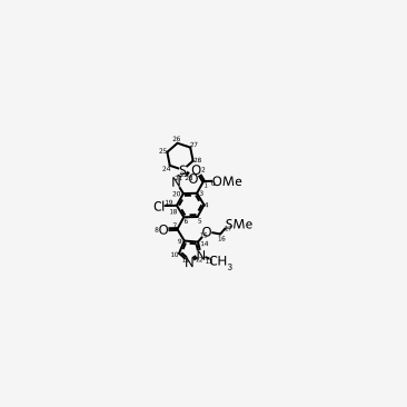 COC(=O)c1ccc(C(=O)c2cnn(C)c2OCSC)c(Cl)c1N=S1(=O)CCCCC1